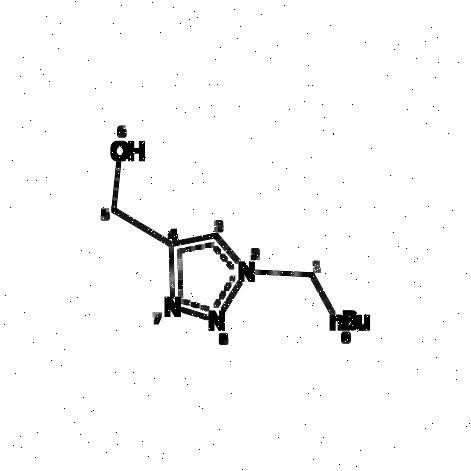 CCCCCn1cc(CO)nn1